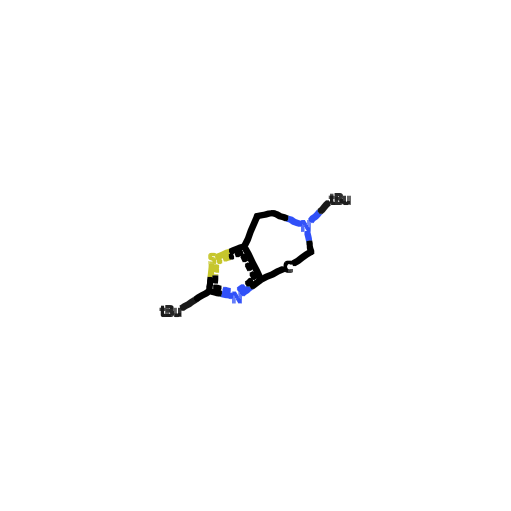 CC(C)(C)c1nc2c(s1)CCN(C(C)(C)C)CC2